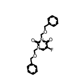 O=c1c(F)cn(COCc2ccccc2)c(=O)n1COCc1ccccc1